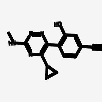 C#Cc1ccc(-c2nnc(NC)nc2C2CC2)c(O)c1